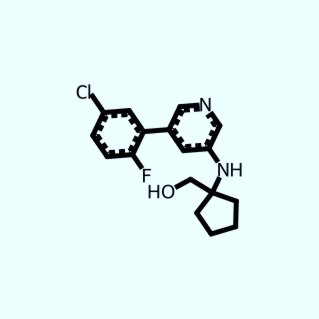 OCC1(Nc2cncc(-c3cc(Cl)ccc3F)c2)CCCC1